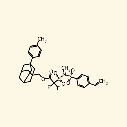 C=Cc1ccc(S(=O)(=O)N(C)S(=O)(=O)C(F)(F)C(=O)OCC23CC4CC(C2)CC(c2ccc(C)cc2)(C4)C3)cc1